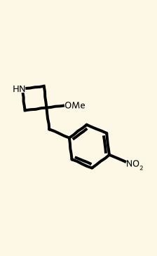 COC1(Cc2ccc([N+](=O)[O-])cc2)CNC1